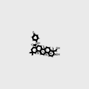 CC1(C)CC[C@]2(C(=O)Nc3ccc(F)cc3)CC[C@]3(C)C(=CC[C@@H]4[C@@]5(C)CC[C@H](O)[C@@](C)(CO)C5CC[C@]43C)[C@H]2C1